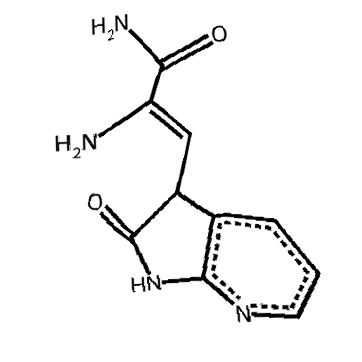 NC(=O)C(N)=CC1C(=O)Nc2ncccc21